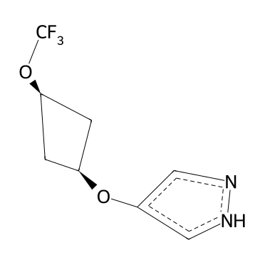 FC(F)(F)O[C@H]1C[C@@H](Oc2cn[nH]c2)C1